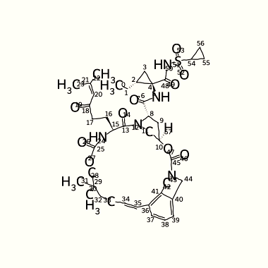 CC[C@@H]1C[C@]1(NC(=O)[C@@H]1C[C@@H]2CN1C(=O)[C@H](CCC(=O)C=C(C)C)NC(=O)OCC(C)(C)CC/C=C/c1cccc3c1CN(C3)C(=O)O2)C(=O)NS(=O)(=O)C1CC1